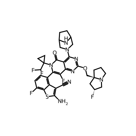 N#Cc1c(N)sc2c(F)ccc(-c3c(F)c4nc(OC[C@@]56CCCN5C[C@H](F)C6)nc(N5CC6CCC(C5)N6)c4c(=O)n3C3(C(F)F)CC3)c12